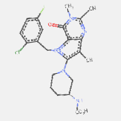 Cn1c(C#N)nc2c(C#N)c(N3CCC[C@@H](NC(=O)O)C3)n(Cc3cc(F)ccc3Cl)c2c1=O